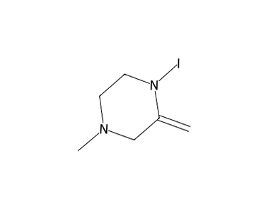 C=C1CN(C)CCN1I